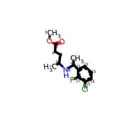 COC(=O)CCC(C)NC(C)c1cccc(Cl)c1F